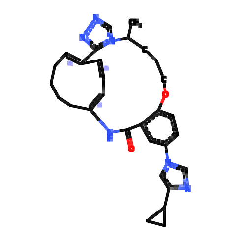 CC1CCCOc2ccc(-n3cnc(C4CC4)c3)cc2C(=O)N/C2=C/C=C\C(=C\CCCC2)c2nncn21